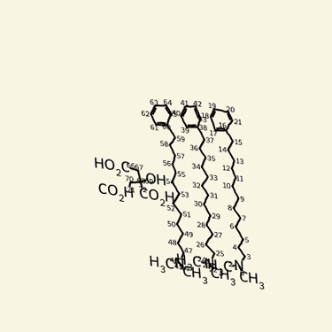 CN(C)CCCCCCCCCCCCCc1ccccc1.CN(C)CCCCCCCCCCCCCc1ccccc1.CN(C)CCCCCCCCCCCCCc1ccccc1.O=C(O)CC(O)(CC(=O)O)C(=O)O